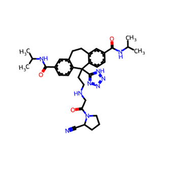 CC(C)NC(=O)c1ccc2c(c1)CCc1cc(C(=O)NC(C)C)ccc1C2(CCNCC(=O)N1CCCC1C#N)c1nnn[nH]1